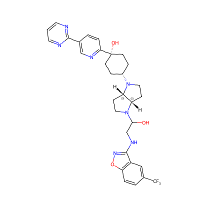 OC(CNc1noc2ccc(C(F)(F)F)cc12)N1CC[C@H]2[C@@H]1CCN2[C@H]1CC[C@](O)(c2ccc(-c3ncccn3)cn2)CC1